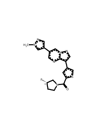 Cn1cc(-c2cnc3c(-c4csc(C(=O)N5CC[C@H](F)C5)c4)cnn3c2)cn1